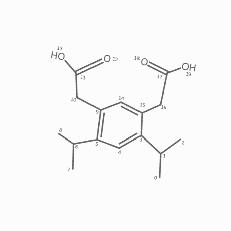 CC(C)c1cc(C(C)C)c(CC(=O)O)cc1CC(=O)O